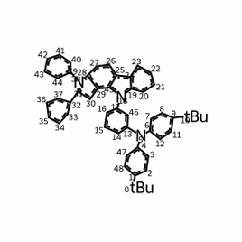 CC(C)(C)c1ccc(N(c2ccc(C(C)(C)C)cc2)c2cccc(-n3c4ccccc4c4ccc5c(cc(-c6ccccc6)n5-c5ccccc5)c43)c2)cc1